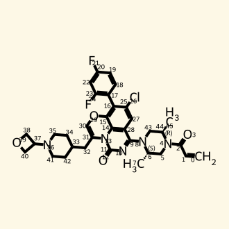 C=CC(=O)N1C[C@H](C)N(c2nc(=O)n3c4c(c(-c5ccc(F)cc5F)c(Cl)cc24)OC=C3CC2CCN(C3COC3)CC2)C[C@H]1C